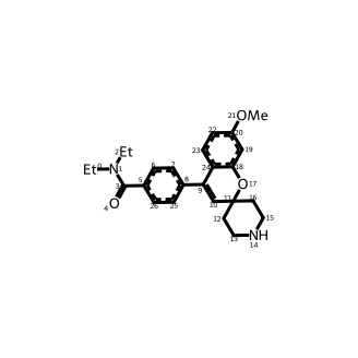 CCN(CC)C(=O)c1ccc(C2=CC3(CCNCC3)Oc3cc(OC)ccc32)cc1